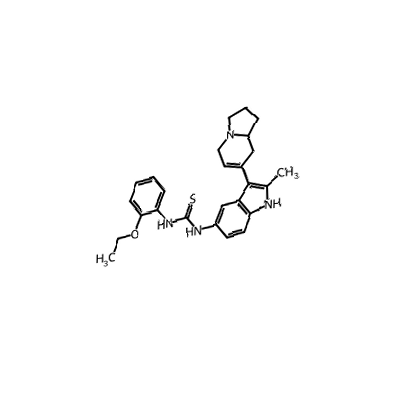 CCOc1ccccc1NC(=S)Nc1ccc2[nH]c(C)c(C3=CCN4CCCC4C3)c2c1